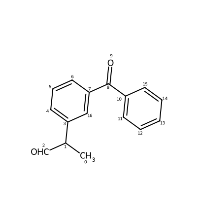 CC(C=O)c1cccc(C(=O)c2ccccc2)c1